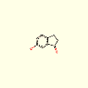 [O]c1ccc2c(c1)C(=O)CC2